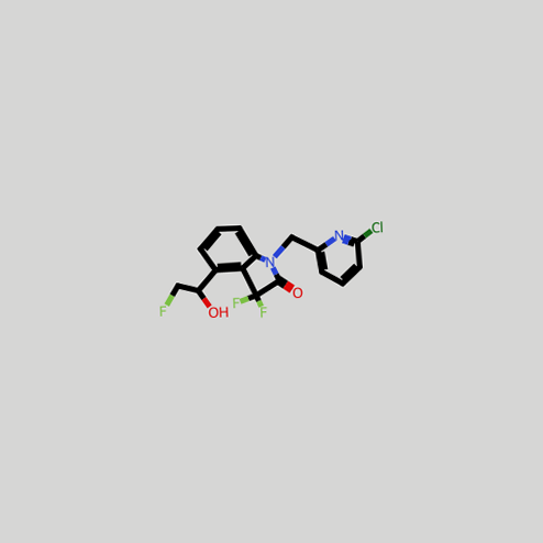 O=C1N(Cc2cccc(Cl)n2)c2cccc(C(O)CF)c2C1(F)F